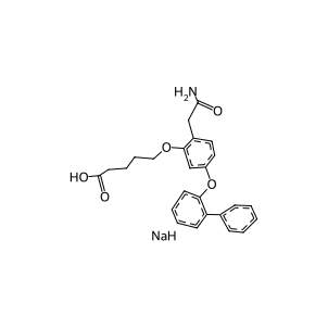 NC(=O)Cc1ccc(Oc2ccccc2-c2ccccc2)cc1OCCCCC(=O)O.[NaH]